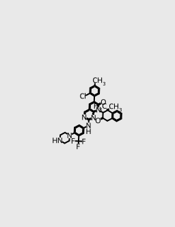 Cc1ccc(-c2cc3cnc(Nc4ccc(N5CCNCC5)c(C(F)(F)F)c4)nc3n(C3C(=O)Cc4ccccc4C3(C)C)c2=O)c(Cl)c1